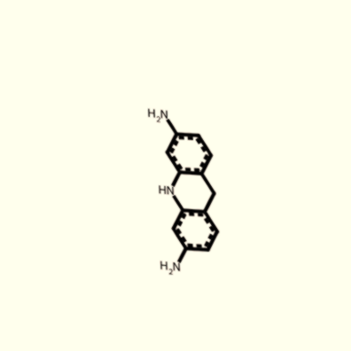 Nc1ccc2c(c1)Nc1cc(N)ccc1C2